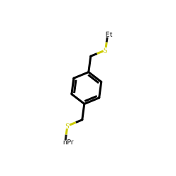 CCCSCc1ccc(CSCC)cc1